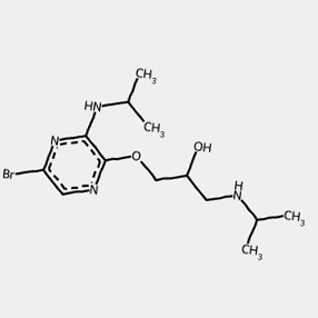 CC(C)NCC(O)COc1ncc(Br)nc1NC(C)C